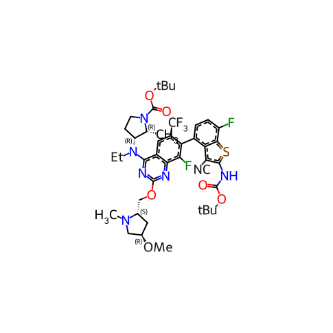 CCN(c1nc(OC[C@@H]2C[C@@H](OC)CN2C)nc2c(F)c(-c3ccc(F)c4sc(NC(=O)OC(C)(C)C)c(C#N)c34)c(C(F)(F)F)cc12)[C@@H]1CCN(C(=O)OC(C)(C)C)[C@@H]1C